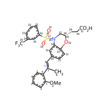 COc1ccccc1/C(C)=C/c1ccc2c(c1)N(S(=O)(=O)c1cccc(C(F)(F)F)c1)C[C@H](CCC(=O)O)O2